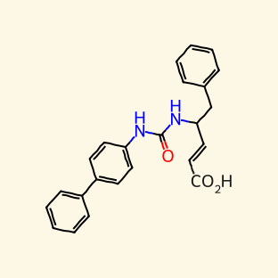 O=C(O)/C=C/C(Cc1ccccc1)NC(=O)Nc1ccc(-c2ccccc2)cc1